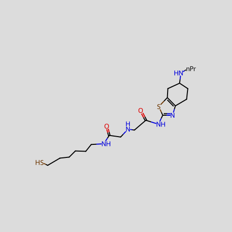 CCCNC1CCc2nc(NC(=O)CNCC(=O)NCCCCCCS)sc2C1